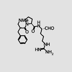 CNCC(Cc1ccccc1)C(=O)N1CCC[C@H]1C(=O)N[C@H](C=O)CCCNC(=N)N